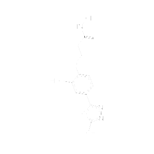 CNC(=O)CCOc1ccc(-c2nnc(C)o2)cc1C